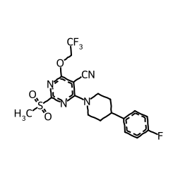 CS(=O)(=O)c1nc(OCC(F)(F)F)c(C#N)c(N2CCC(c3ccc(F)cc3)CC2)n1